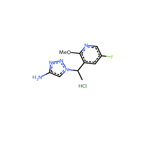 COc1ncc(F)cc1C(C)n1cc(N)nn1.Cl